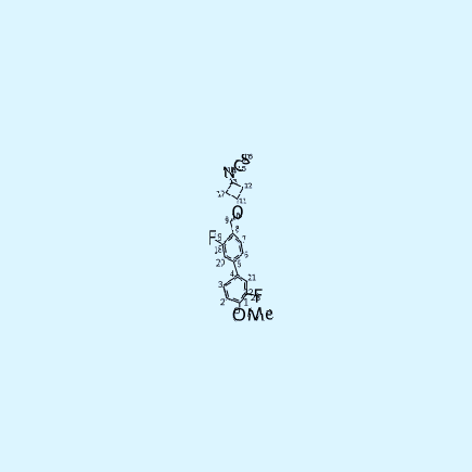 COc1ccc(-c2ccc(CO[C@H]3C[C@H](N=C=S)C3)c(F)c2)cc1F